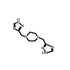 c1nc(CN2CCN(Cc3nc[nH]n3)CC2)n[nH]1